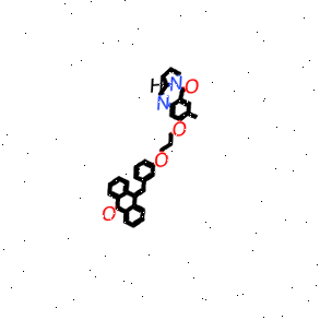 Cc1cc2c(cc1OCCCOc1cccc(C=C3c4ccccc4C(=O)c4ccccc43)c1)N=C[C@@H]1CCCN1C2=O